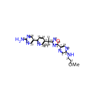 COCCNc1cnc(-c2nc(C(C)(c3ccc(-c4cnc(N)nc4)nc3)C(C)C)no2)cn1